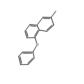 Cc1ccc2c(Oc3ccccc3)cccc2c1